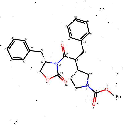 CC(C)(C)OC(=O)N1CC[C@H]([C@H](Cc2ccccc2)C(=O)N2C(=O)OC[C@@H]2Cc2ccccc2)C1